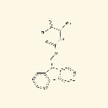 CC(C)(C)C(NC(=O)OCC1c2ccccc2-c2ccccc21)C(=O)Cl